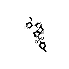 CC[C@H]1CNC[C@H]1c1cnc2cnc3c(ccn3S(=O)(=O)c3ccc(C)cc3)n12